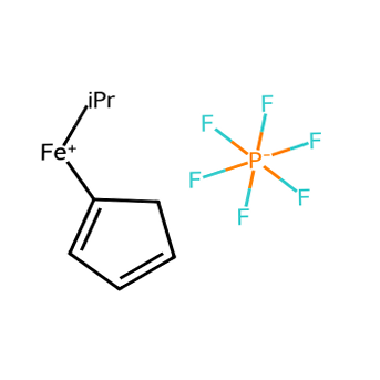 C[CH](C)[Fe+][C]1=CC=CC1.F[P-](F)(F)(F)(F)F